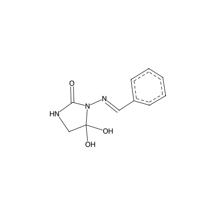 O=C1NCC(O)(O)N1N=Cc1ccccc1